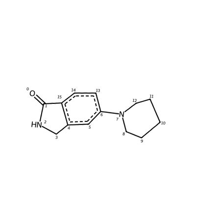 O=C1NCc2cc(N3CCCCC3)ccc21